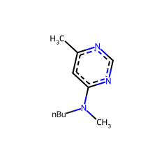 CCCCN(C)c1cc(C)ncn1